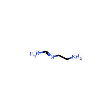 NC=NCCN